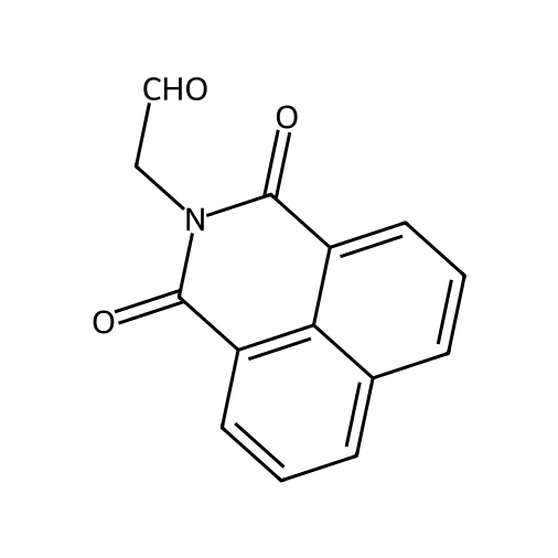 O=CCN1C(=O)c2cccc3cccc(c23)C1=O